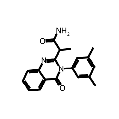 Cc1cc(C)cc(-n2c(C(C)C(N)=O)nc3ccccc3c2=O)c1